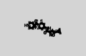 C[C@@H]1CC(NC(=O)c2cc(C3CC3)on2)CCN1C(=O)C1(F)CCNCC1